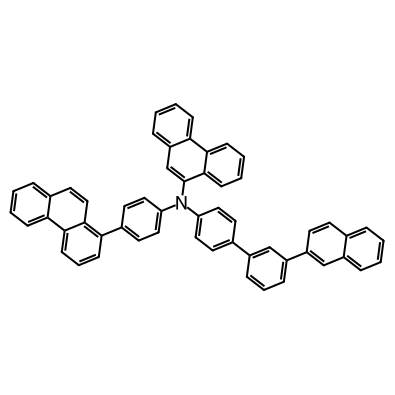 c1cc(-c2ccc(N(c3ccc(-c4cccc5c4ccc4ccccc45)cc3)c3cc4ccccc4c4ccccc34)cc2)cc(-c2ccc3ccccc3c2)c1